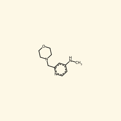 CNc1ccnc(CN2CCOCC2)c1